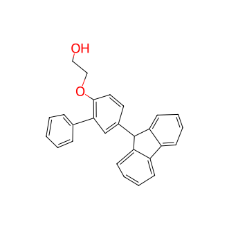 OCCOc1ccc(C2c3ccccc3-c3ccccc32)cc1-c1ccccc1